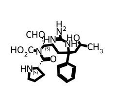 CC(O)CC(CC[C@@H](C=O)N(C(=O)O)C(=O)[C@@H]1CCCN1)(NC(=N)N)c1ccccc1